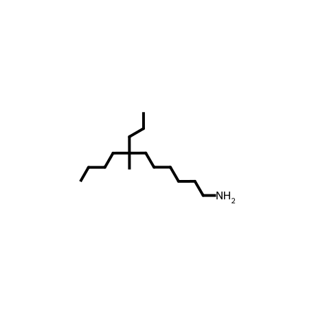 CCCCC(C)(CCC)CCCCCCN